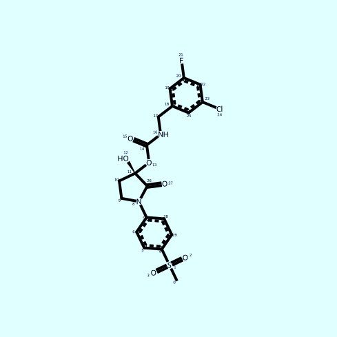 CS(=O)(=O)c1ccc(N2CC[C@](O)(OC(=O)NCc3cc(F)cc(Cl)c3)C2=O)cc1